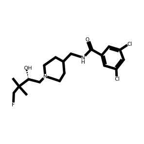 CC(C)(CF)[C@H](O)CN1CCC(CNC(=O)c2cc(Cl)cc(Cl)c2)CC1